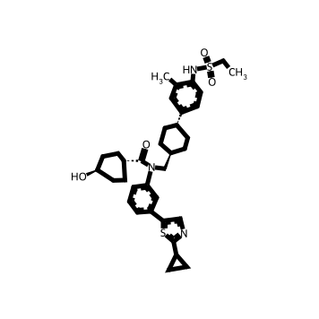 CCS(=O)(=O)Nc1ccc([C@H]2CC[C@H](CN(c3cccc(-c4cnc(C5CC5)s4)c3)C(=O)[C@H]3CC[C@H](O)CC3)CC2)cc1C